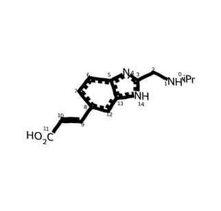 CC(C)NCc1nc2ccc(/C=C/C(=O)O)cc2[nH]1